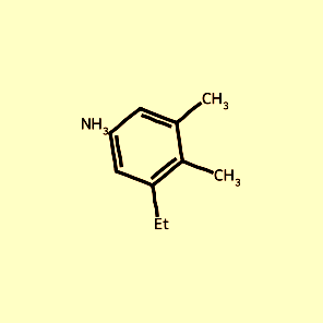 CCc1cccc(C)c1C.N